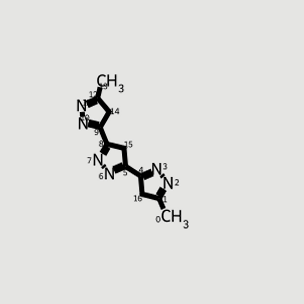 CC1=NN=C(C2=NN=C(C3=NN=C(C)C3)C2)C1